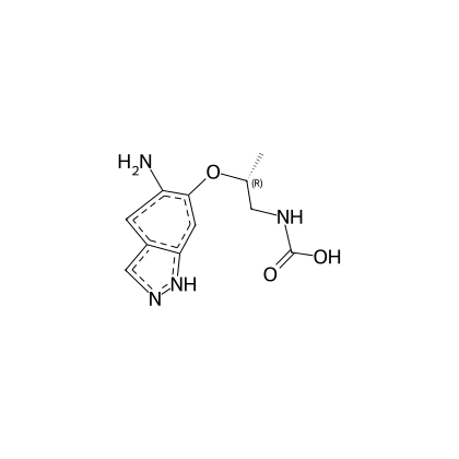 C[C@H](CNC(=O)O)Oc1cc2[nH]ncc2cc1N